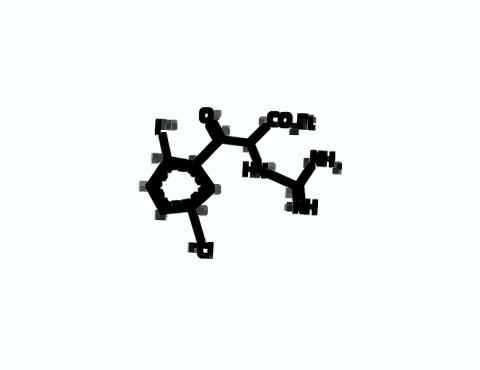 CCOC(=O)C(NC(=N)N)C(=O)c1cc(Cl)ccc1F